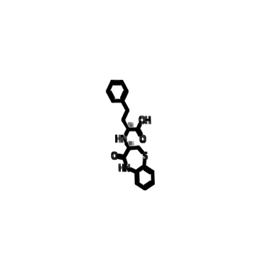 O=C(O)[C@H](CCc1ccccc1)N[C@H]1CSc2ccccc2NC1=O